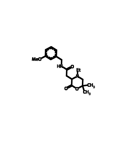 CCN1CC(C)(C)OC(=O)C1CC(=O)NCc1cccc(OC)c1